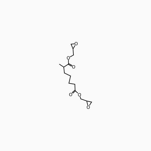 CC(CCCCC(=O)OCC1CO1)C(=O)OCC1CO1